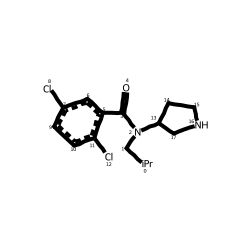 CC(C)CN(C(=O)c1cc(Cl)ccc1Cl)C1CCNC1